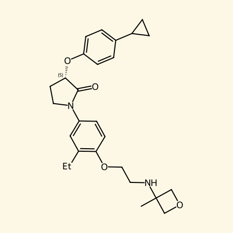 CCc1cc(N2CC[C@H](Oc3ccc(C4CC4)cc3)C2=O)ccc1OCCNC1(C)COC1